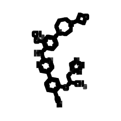 COc1cc(N2CCCN(C3COC3)CC2)ccc1Nc1ncc(-c2ccc(C#N)c(OC(C)Cn3cnnn3)c2)cn1